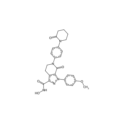 COc1ccc(-n2nc(C(=O)NO)c3c2C(=O)N(c2ccc(N4CCCCC4=O)cc2)CC3)cc1